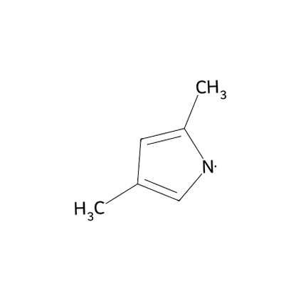 CC1=C[N]C(C)=C1